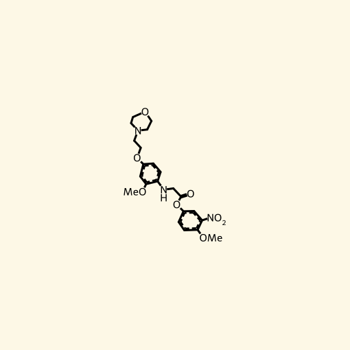 COc1cc(OCCN2CCOCC2)ccc1NCC(=O)Oc1ccc(OC)c([N+](=O)[O-])c1